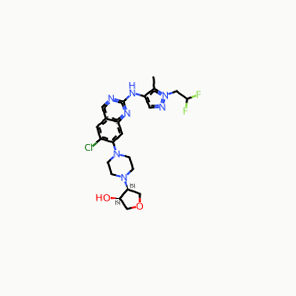 Cc1c(Nc2ncc3cc(Cl)c(N4CCN([C@H]5COC[C@H]5O)CC4)cc3n2)cnn1CC(F)F